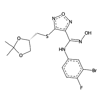 CC1(C)OC[C@@H](CSc2nonc2C(=NO)Nc2ccc(F)c(Br)c2)O1